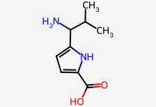 CC(C)C(N)c1ccc(C(=O)O)[nH]1